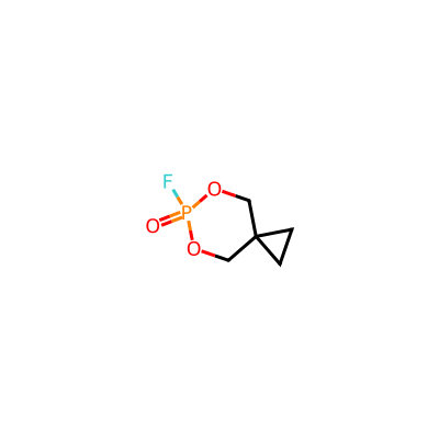 O=P1(F)OCC2(CC2)CO1